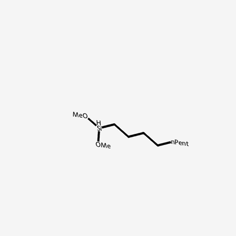 CCCCCCCCC[SiH](OC)OC